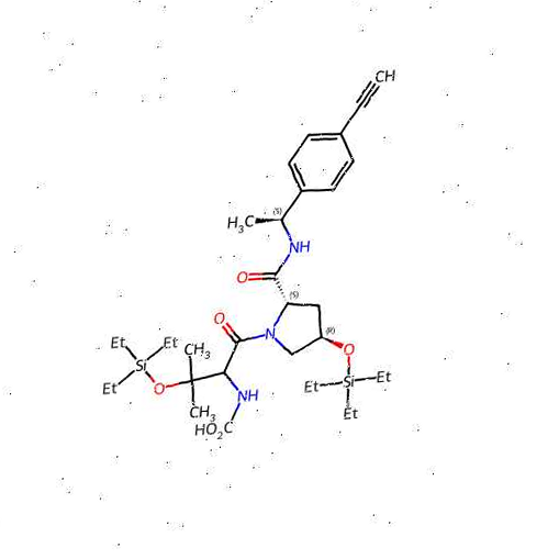 C#Cc1ccc([C@H](C)NC(=O)[C@@H]2C[C@@H](O[Si](CC)(CC)CC)CN2C(=O)C(NC(=O)O)C(C)(C)O[Si](CC)(CC)CC)cc1